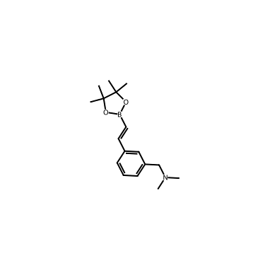 CN(C)Cc1cccc(/C=C/B2OC(C)(C)C(C)(C)O2)c1